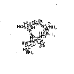 CC[C@H](C)C1NN[C@@H](CCC(N)=O)C(=O)N[C@@H](CC(N)=O)C(=O)N[C@H](C(=O)N(CC(=O)N[C@@H](CC(C)C)C(=O)C(=O)CNN)Cc2ccncc2)CSSCCC(=O)N[C@@H](Cc2ccc(O)cc2)C(=O)C1=O